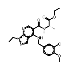 CCOC(=O)[C@H](C)NC(=O)c1cnc2c(cnn2CC)c1NCc1ccc(OC)c(Cl)c1